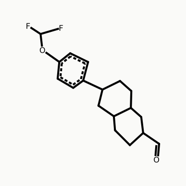 O=CC1CCC2CC(c3ccc(OC(F)F)cc3)CCC2C1